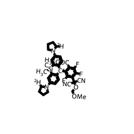 [2H]C1CCCN1c1ccc2c(c1)[Si](C)(C)c1cc(N3CCCC3[2H])ccc1[C+]2c1c(F)c(C(C#N)(C#N)OCOC)c(F)c(F)c1C(=O)[O-]